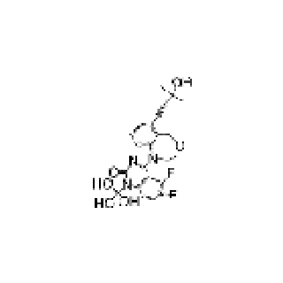 CC(C)(O)C#Cc1cccc2c1COCCN2c1nc(=O)n(C(O)(O)O)c2ccc(F)c(F)c12